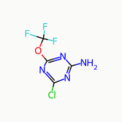 Nc1nc(Cl)nc(OC(F)(F)F)n1